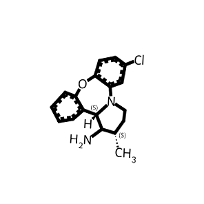 C[C@H]1CCN2c3cc(Cl)ccc3Oc3ccccc3[C@H]2C1N